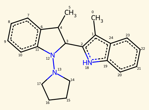 Cc1c(C2C(C)c3ccccc3N2N2CCCC2)[nH]c2ccccc12